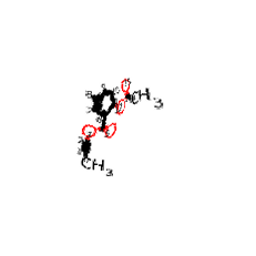 CC#COC(=O)c1ccccc1OC(C)=O